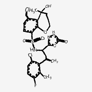 Cc1c(F)ccc(Cl)c1C(C)C(NS(=O)(=O)c1ccc(Cl)c2c1OCCC2(C)O)c1n[nH]c(=O)o1